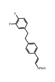 CCCCC/C=C/c1ccc(CCc2ccc(F)c(F)c2)cc1